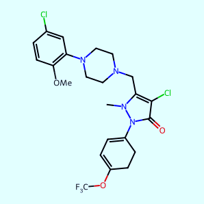 COc1ccc(Cl)cc1N1CCN(Cc2c(Cl)c(=O)n(C3=CC=C(OC(F)(F)F)CC3)n2C)CC1